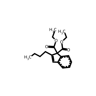 CCCCC1=Cc2ccccc2C1(C(=O)OCC)C(=O)OCC